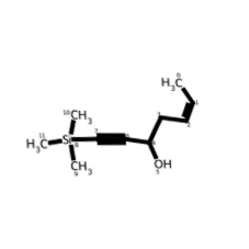 C/C=C\CC(O)C#C[Si](C)(C)C